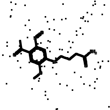 COc1cc(C(C)=O)c(N=O)cc1OCCCC(N)=O